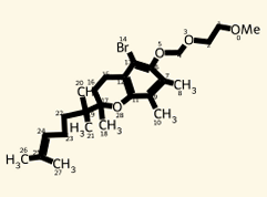 COCCOCOc1c(C)c(C)c2c(c1Br)CCC(C)(C(C)(C)CCC=C(C)C)O2